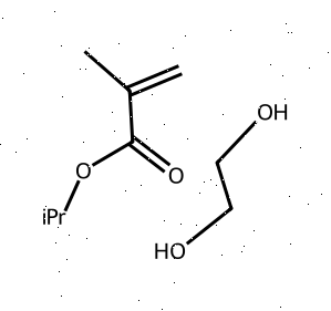 C=C(C)C(=O)OC(C)C.OCCO